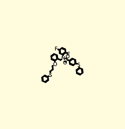 O=S(=O)(c1ccc(Sc2ccccc2)cc1)N(Cc1ccccc1OCCCSc1ccccc1)c1cc(F)ccc1F